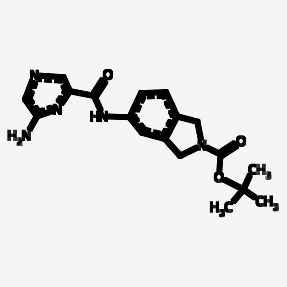 CC(C)(C)OC(=O)N1Cc2ccc(NC(=O)c3cncc(N)n3)cc2C1